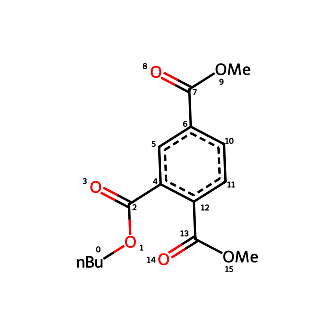 CCCCOC(=O)c1cc(C(=O)OC)ccc1C(=O)OC